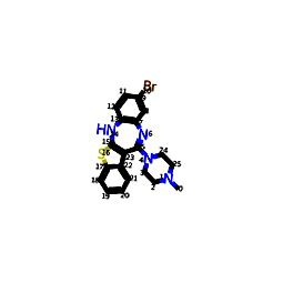 CN1CCN(C2=Nc3cc(Br)ccc3Nc3sc4ccccc4c32)CC1